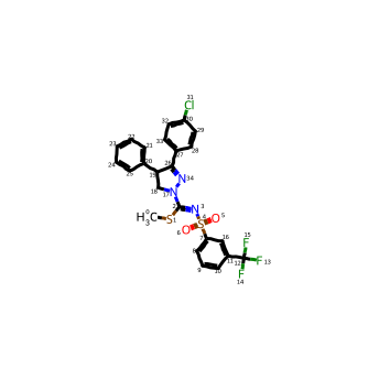 CSC(=NS(=O)(=O)c1cccc(C(F)(F)F)c1)N1CC(c2ccccc2)C(c2ccc(Cl)cc2)=N1